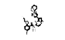 CC(Nc1ccn2ncc(-c3cnn(C4CCCCO4)c3)c2n1)c1cc(F)ccc1OCCF